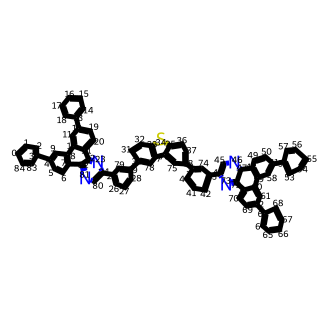 c1ccc(-c2ccc3c(c2)c2cc(-c4ccccc4)ccc2c2nc(-c4cccc(-c5ccc6sc7ccc(-c8cccc(-c9cnc%10c%11ccc(-c%12ccccc%12)cc%11c%11cc(-c%12ccccc%12)ccc%11c%10n9)c8)cc7c6c5)c4)cnc32)cc1